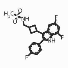 CS(=O)(=O)NCC1CC(c2c(-c3ccc(F)cc3)[nH]c3c(F)cc(F)cc23)C1